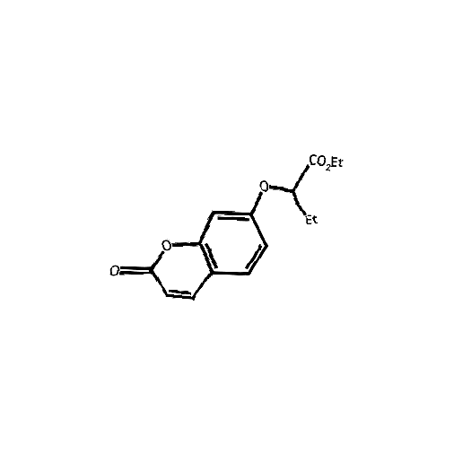 CCOC(=O)C(CC)Oc1ccc2ccc(=O)oc2c1